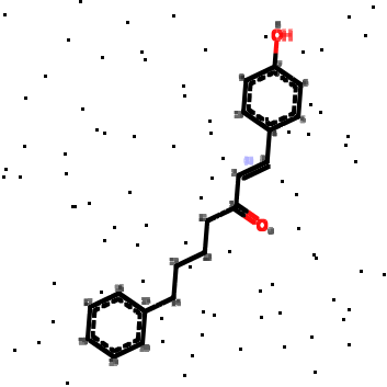 O=C(/C=C/c1ccc(O)cc1)CCCCc1ccccc1